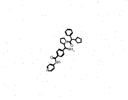 NC(c1ccc(C(=O)Nc2ccncc2)cc1)C1CCCN1C(=O)C(c1ccccc1)C1CCCC1